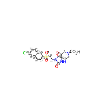 O=C(O)N1CCC2(CC1)NC(=O)N(CCS(=O)(=O)c1ccc3cc(Cl)ccc3c1)C2=O